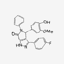 COc1cc(C2c3c(-c4ccc(F)cc4)n[nH]c3C(=O)N2c2ccccc2)ccc1O